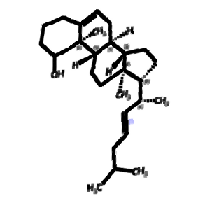 CC(C)C/C=C/[C@@H](C)[C@H]1CC[C@H]2[C@@H]3CC=C4CCCC(O)[C@]4(C)[C@H]3CC[C@]12C